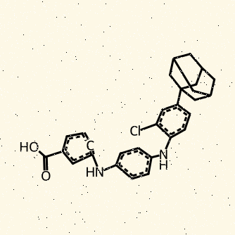 O=C(O)c1cccc(Nc2ccc(Nc3ccc(C45CC6CC(CC(C6)C4)C5)cc3Cl)cc2)c1